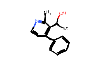 CCC(O)c1c(-c2ccccc2)ccnc1C